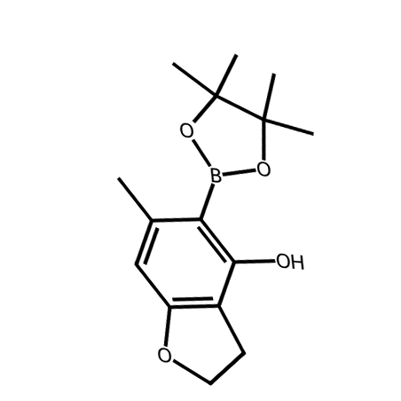 Cc1cc2c(c(O)c1B1OC(C)(C)C(C)(C)O1)CCO2